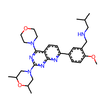 COc1ccc(-c2ccc3c(N4CCOCC4)nc(N4CC(C)OC(C)C4)nc3n2)cc1CNCC(C)C